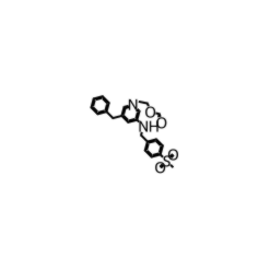 CCOC=O.CS(=O)(=O)c1ccc(CNc2cncc(Cc3ccccc3)c2)cc1